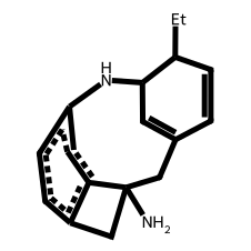 CCC1C=CC2=CC1Nc1ccc3c(c1)C(N)(C2)C3